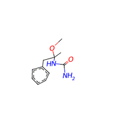 COC(C)(Cc1ccccc1)NC(N)=O